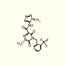 Cn1nnnc1NC(=O)c1nn(C)c(=O)n(Cc2ccccc2C(F)(F)F)c1=O